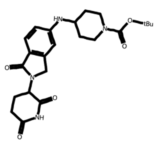 CC(C)(C)OC(=O)N1CCC(Nc2ccc3c(c2)CN(C2CCC(=O)NC2=O)C3=O)CC1